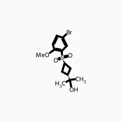 COc1ccc(Br)cc1S(=O)(=O)[C@H]1C[C@@H](C(C)(C)O)C1